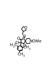 CON1CCC2(CC1)C(=O)C(Cl)(c1c(C)cc(C)cc1C)C(=O)N2OCC1CCOC1